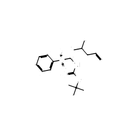 C=CCC(C)C[C@H](NC(=O)OC(C)(C)C)S(=O)(=O)c1ccccc1